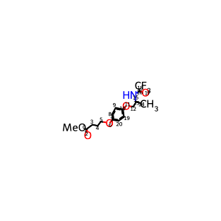 COC(=O)CCCOc1ccc(OCC(C)NC(=O)C(F)(F)F)cc1